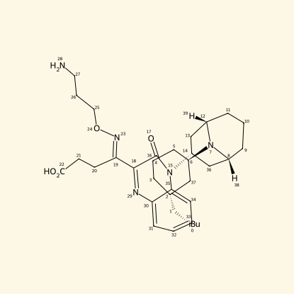 CC[C@@H](C)C[C@@H]1CCC[C@@H](N2[C@@H]3CCC[C@H]2C[C@@H](n2c(=O)c(/C(CCC(=O)O)=N/OCCCN)nc4ccccc42)C3)C1